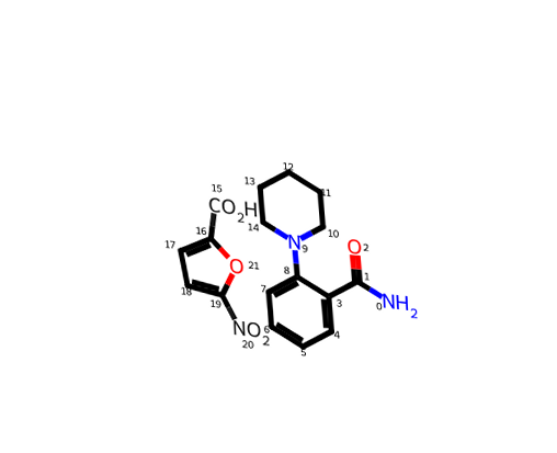 NC(=O)c1ccccc1N1CCCCC1.O=C(O)c1ccc([N+](=O)[O-])o1